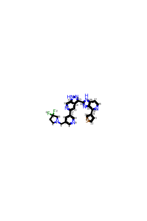 FC1(F)CCN(Cc2cncc(-c3cc4c(-c5nc6c(-c7ccsc7)nccc6[nH]5)n[nH]c4cn3)c2)C1